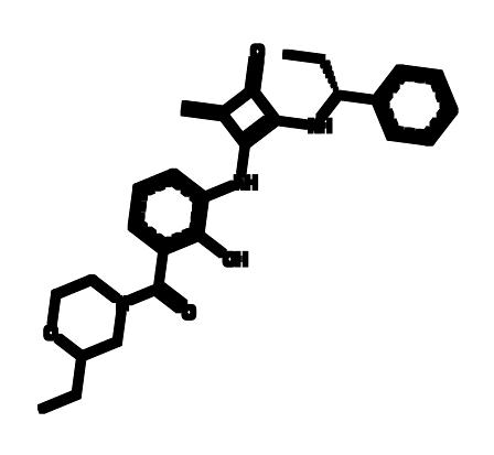 C=C1C(=O)C(N[C@H](CC)c2ccccc2)=C1Nc1cccc(C(=O)N2CCOC(CC)C2)c1O